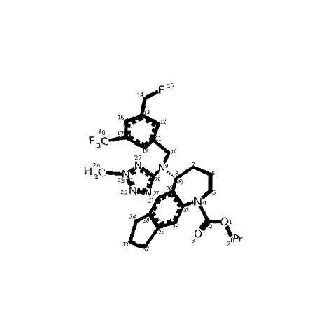 CC(C)OC(=O)N1CCC[C@@H](N(Cc2cc(CF)cc(C(F)(F)F)c2)c2nnn(C)n2)c2cc3c(cc21)CCC3